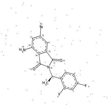 C[C@H](c1ccc(F)cc1F)N1C(=O)c2cc(Br)cc(N)c2C1=O